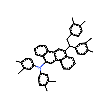 Cc1ccc(CC(c2ccc(C)c(C)c2)c2cc3c4ccccc4c(N(c4ccc(C)c(C)c4)c4ccc(C)c(C)c4)cc3c3ccccc23)cc1C